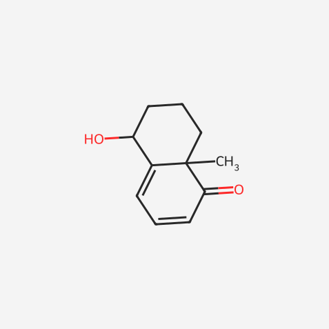 CC12CCCC(O)C1=CC=CC2=O